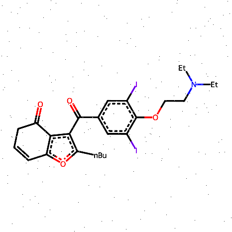 CCCCc1oc2c(c1C(=O)c1cc(I)c(OCCN(CC)CC)c(I)c1)C(=O)CC=C2